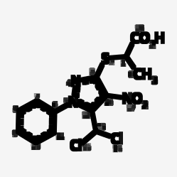 CC(Sc1nn(-c2ccccc2)c(C(Cl)Cl)c1[N+](=O)[O-])C(=O)O